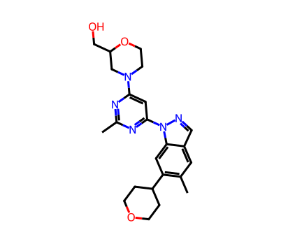 Cc1nc(N2CCOC(CO)C2)cc(-n2ncc3cc(C)c(C4CCOCC4)cc32)n1